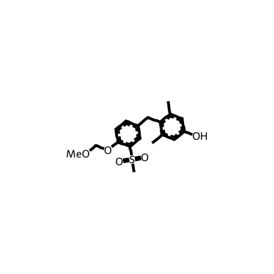 COCOc1ccc(Cc2c(C)cc(O)cc2C)cc1S(C)(=O)=O